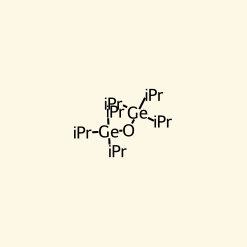 C[CH](C)[Ge]([O][Ge]([CH](C)C)([CH](C)C)[CH](C)C)([CH](C)C)[CH](C)C